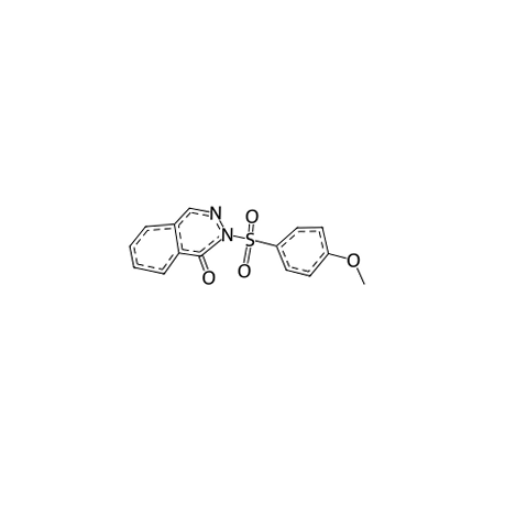 COc1ccc(S(=O)(=O)n2ncc3ccccc3c2=O)cc1